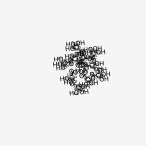 O=C(Cc1cc(C(=O)OC[C@H]2OC(OC(=O)c3cc(O)c(O)c(OC(=O)c4cc(O)c(O)c(O)c4)c3)[C@H](OC(=O)c3cc(O)c(O)c(OC(=O)c4cc(O)c(O)c(O)c4)c3)[C@@H](OC(=O)c3cc(O)c(O)c(OC(=O)c4cc(O)c(O)c(O)c4)c3)[C@@H]2OC(=O)c2cc(O)c(O)c(OC(=O)c3cc(O)c(O)c(O)c3)c2)cc(O)c1O)c1cc(O)c(O)c(O)c1